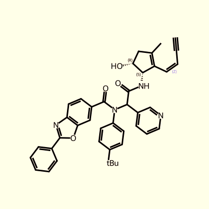 C#C/C=C\C1=C(C)C[C@@H](O)[C@H]1NC(=O)C(c1cccnc1)N(C(=O)c1ccc2nc(-c3ccccc3)oc2c1)c1ccc(C(C)(C)C)cc1